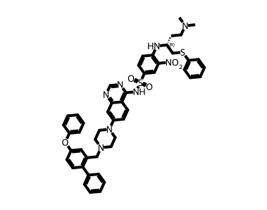 CN(C)CC[C@H](CSc1ccccc1)Nc1ccc(S(=O)(=O)Nc2ncnc3cc(N4CCN(Cc5cc(Oc6ccccc6)ccc5-c5ccccc5)CC4)ccc23)cc1[N+](=O)[O-]